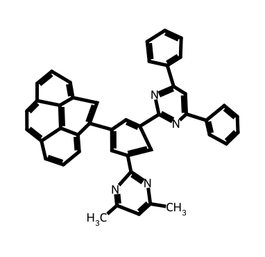 Cc1cc(C)nc(-c2cc(-c3nc(-c4ccccc4)cc(-c4ccccc4)n3)cc(-c3cc4cccc5ccc6cccc3c6c54)c2)n1